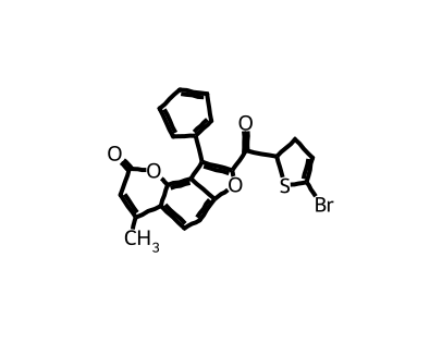 Cc1cc(=O)oc2c1ccc1oc(C(=O)C3CC=C(Br)S3)c(-c3ccccc3)c12